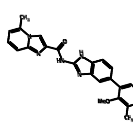 COc1c(-c2ccc3[nH]c(NC(=O)c4cn5c(C)cccc5n4)nc3c2)cccc1C(F)(F)F